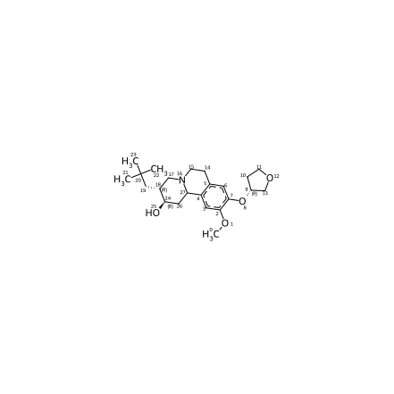 COc1cc2c(cc1O[C@@H]1CCOC1)CCN1C[C@@H](CC(C)(C)C)[C@H](O)CC21